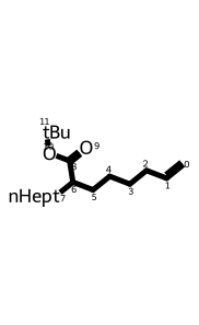 C=CCCCCC(CCCCCCC)C(=O)OC(C)(C)C